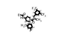 CCC(=O)N[C@@H]1CCN(C(=O)N(C)Cc2cc(C(F)(F)F)cc(C(F)(F)F)c2)[C@H](c2ccc(F)cc2C)C1